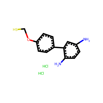 Cl.Cl.Nc1ccc(N)c(-c2ccc(OCS)cc2)c1